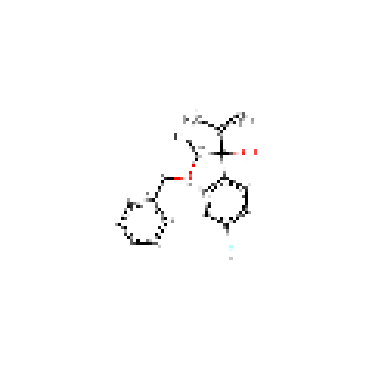 C=C(C)C(O)(c1ccc(F)cc1)[C@H](C)OCc1ccccc1